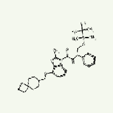 Cc1nc2c(OCC3CCC4(CCC4)CC3)cccn2c1C(=O)N[C@@H](CO[Si](C)(C)C(C)(C)C)c1ccccc1